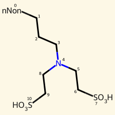 CCCCCCCCCCCCN(CCS(=O)(=O)O)CCS(=O)(=O)O